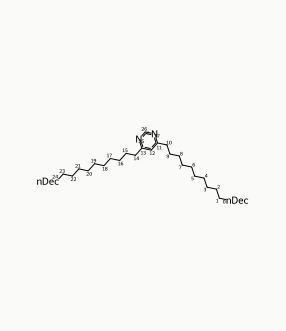 CCCCCCCCCCCCCCCCCCCCc1cc(CCCCCCCCCCCCCCCCCCCC)n[c]n1